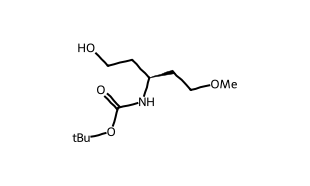 COCC[C@H](CCO)NC(=O)OC(C)(C)C